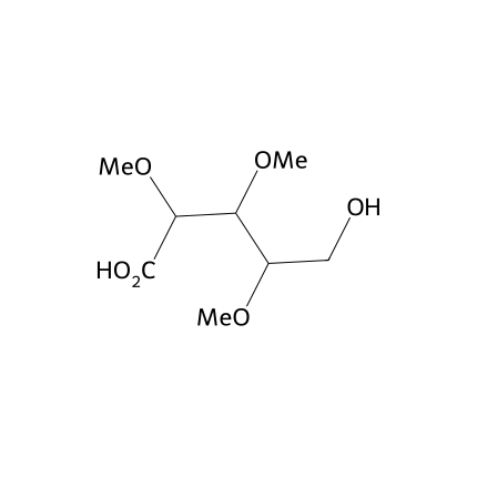 COC(CO)C(OC)C(OC)C(=O)O